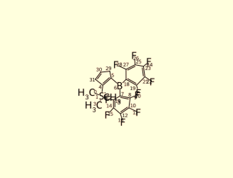 C[Si](C)(C)C1=C(B(c2c(F)c(F)c(F)c(F)c2F)c2c(F)c(F)c(F)c(F)c2F)CC=C1